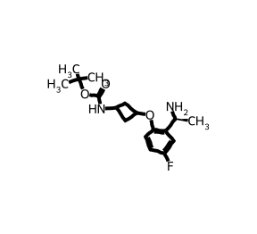 C[C@H](N)c1cc(F)ccc1OC1CC(NC(=O)OC(C)(C)C)C1